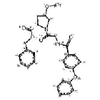 CC(C)O[C@@H]1C[C@@H](C(=O)OCc2ccccc2)N(C(=O)CNC(=O)c2ccc(Oc3ccccc3)cc2)C1